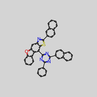 c1ccc(-c2nc(-c3ccc4ccccc4c3)nc(-c3c4sc(-c5ccc6ccccc6c5)nc4cc4oc5ccccc5c34)n2)cc1